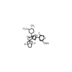 COc1cc(-c2cc(C(=O)N3[C@@H]4CC[C@H]3C[C@H](C(=O)N[C@@H]3CC[C@@H](C)N(C)C3)C4)n[nH]2)c(F)cn1